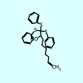 C=CCCCCCC(O)C(Sc1ccccc1)(Sc1ccccc1)Sc1ccccc1